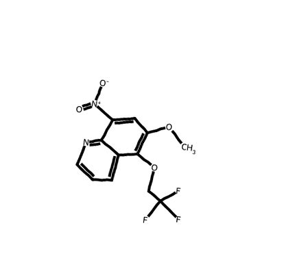 COc1cc([N+](=O)[O-])c2ncccc2c1OCC(F)(F)F